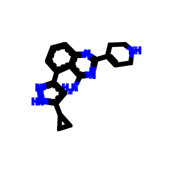 Nc1nc(C2=CCNCC2)nc2cccc(-c3cc(C4CC4)[nH]n3)c12